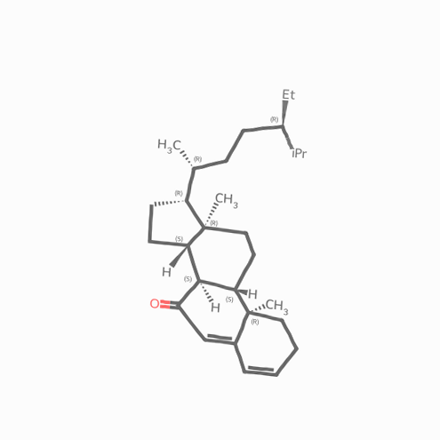 CC[C@H](CC[C@@H](C)[C@H]1CC[C@H]2[C@@H]3C(=O)C=C4C=CCC[C@]4(C)[C@H]3CC[C@]12C)C(C)C